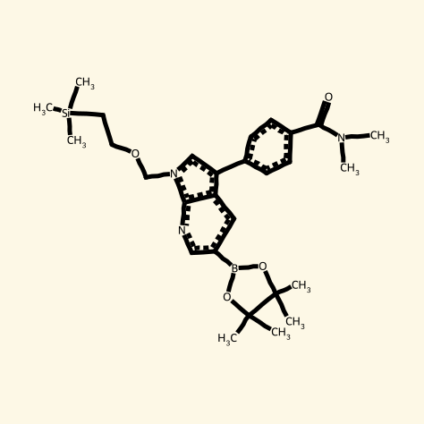 CN(C)C(=O)c1ccc(-c2cn(COCC[Si](C)(C)C)c3ncc(B4OC(C)(C)C(C)(C)O4)cc23)cc1